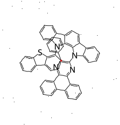 c1ccc(-c2nc3c4ccccc4c4ccccc4c3nc2-n2c3ccccc3c3ccc4c5ccccc5n(-c5cccc6c5sc5ccccc56)c4c32)cc1